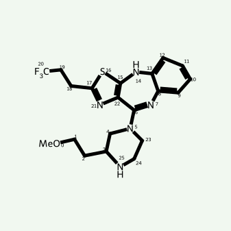 COCCC1CN(C2=Nc3ccccc3Nc3sc(CCC(F)(F)F)nc32)CCN1